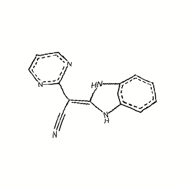 N#CC(=C1Nc2ccccc2N1)c1ncccn1